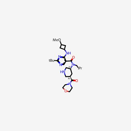 COC1CC(Nc2nc(C(C)(C)C)ncc2C(=O)N(CC(C)C)[C@@H]2CNC[C@H](C(=O)N3CCOCC3)C2)C1